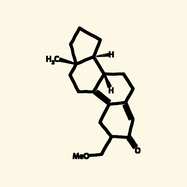 COCC1CC2=C3CC[C@]4(C)CCC[C@H]4[C@@H]3CCC2=CC1=O